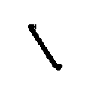 O=[N+]([O-])c1ccc(OCCOCCOCCOCCOCCOCCOCCOCCOCCOCCOCCOCCOCCOCCOCCOCCOCCO)cc1